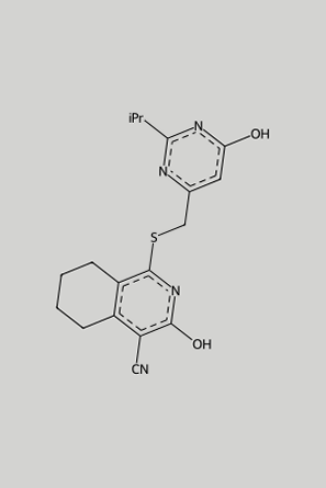 CC(C)c1nc(O)cc(CSc2nc(O)c(C#N)c3c2CCCC3)n1